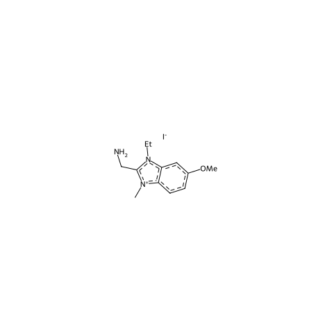 CCn1c(CN)[n+](C)c2ccc(OC)cc21.[I-]